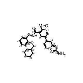 COc1ncc(-c2ccn3nc(N)nc3c2)cc1C(=O)NCc1ccccc1OCC1CCCCC1